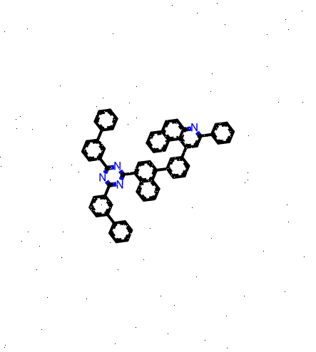 c1ccc(-c2cccc(-c3nc(-c4cccc(-c5ccccc5)c4)nc(-c4ccc(-c5cccc(-c6cc(-c7ccccc7)nc7ccc8ccccc8c67)c5)c5ccccc45)n3)c2)cc1